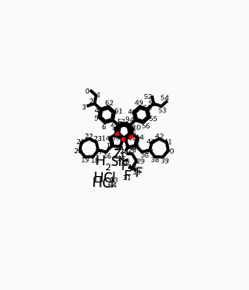 CCC(C)c1ccc(-c2cccc3c2C=C(CC2CCCCCC2)[CH]3[Zr]([CH3])(=[SiH2])([CH2]CC(F)(F)F)[CH]2C(CC3CCCCCC3)=Cc3c(-c4ccc(C(C)CC)cc4)cccc32)cc1.Cl.Cl